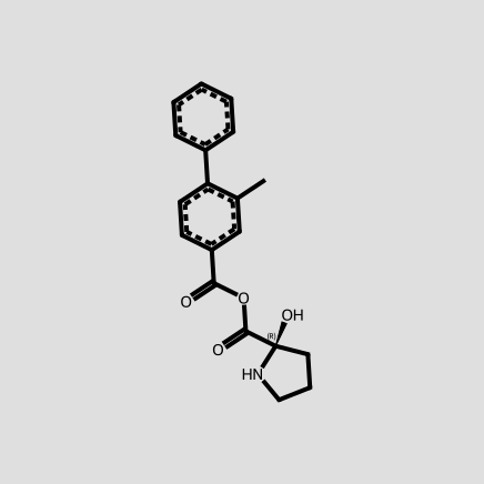 Cc1cc(C(=O)OC(=O)[C@]2(O)CCCN2)ccc1-c1ccccc1